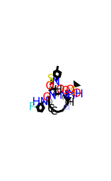 Cc1ccc2nc(O[C@@H]3C[C@H]4C(=O)N[C@]5(C(=O)NS(=O)(=O)C6CC6)C[C@H]5/C=C\CCCCC[C@H](Nc5cccc(F)c5)C(=O)N4C3)sc2c1